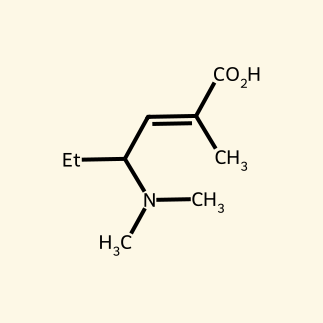 CCC(/C=C(\C)C(=O)O)N(C)C